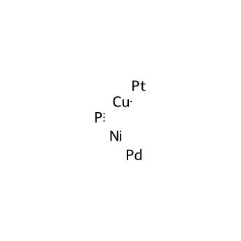 [Cu].[Ni].[P].[Pd].[Pt]